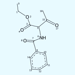 CCOC(=O)C(NC(=O)c1ccccc1)C(C)=O